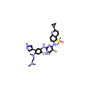 COc1cc(N(C)CCN(C)C)c(-c2cnn(C)c2)cc1Nc1ncc(Br)c(Nc2ccc3nc(C4CC4)ccc3c2P(C)(C)=O)n1